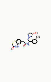 CN(C(=O)Cc1ccc2c(c1)NC(=O)CS2)C(CN1CC[C@H](O)C1)c1cccc(C#N)c1